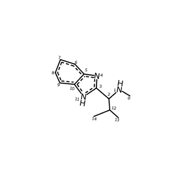 CNC(c1nc2ccccc2[nH]1)C(C)C